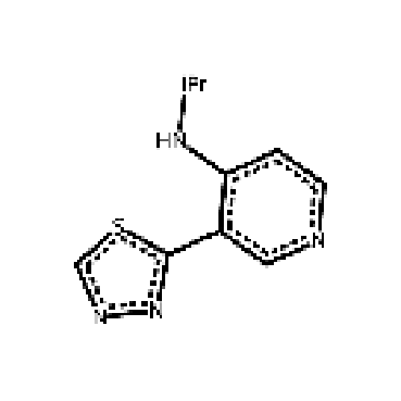 CC(C)Nc1ccncc1-c1nncs1